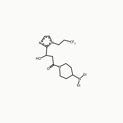 CCN(CC)C1CCN(C(=O)CC(O)c2nccn2CCC(F)(F)F)CC1